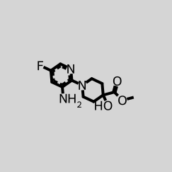 COC(=O)C1(O)CCN(c2ncc(F)cc2N)CC1